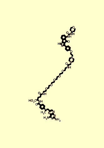 CN(Cc1cnc2nc(N)nc(N)c2n1)c1ccc(C(=O)NC(CCC(=O)NCCOCCOCCOCCOCCOCCNC(=O)CN2CCN(CCOc3ccc(-c4n[nH]c5c4C(=O)c4c(NC(=O)NN6CCOCC6)cccc4-5)cc3)CC2)C(=O)O)cc1